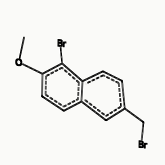 COc1ccc2cc(CBr)ccc2c1Br